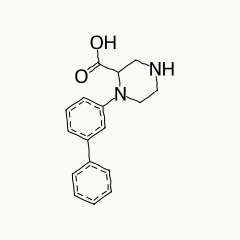 O=C(O)C1CNCCN1c1cccc(-c2ccccc2)c1